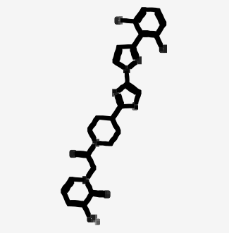 O=C(Cn1cccc(C(F)(F)F)c1=O)N1CCC(c2nc(-n3ccc(-c4c(Cl)cccc4Cl)n3)cs2)CC1